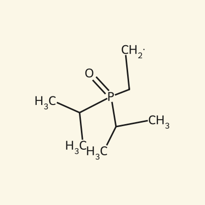 [CH2]CP(=O)(C(C)C)C(C)C